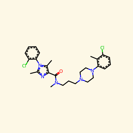 Cc1c(Cl)cccc1N1CCN(CCCN(C)C(=O)c2nc(C)n(-c3ccccc3Cl)c2C)CC1